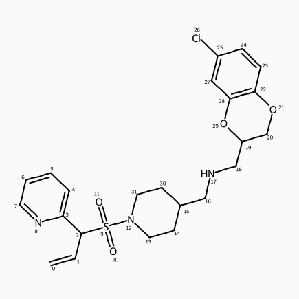 C=CC(c1ccccn1)S(=O)(=O)N1CCC(CNCC2COc3ccc(Cl)cc3O2)CC1